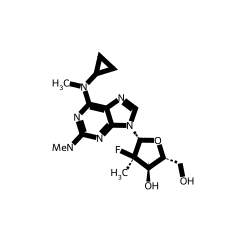 CNc1nc(N(C)C2CC2)c2ncn([C@@H]3O[C@H](CO)[C@@H](O)[C@@]3(C)F)c2n1